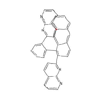 c1ccc(-c2c(-c3ccc4cccnc4n3)ccc3cc4ccccc4cc23)c(-c2ccc3cccnc3n2)c1